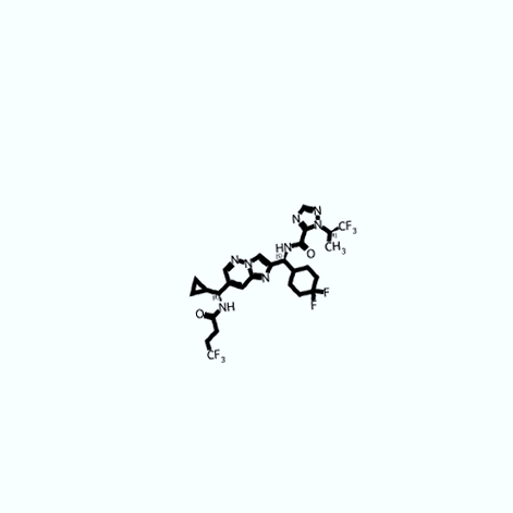 C[C@@H](n1ncnc1C(=O)N[C@H](c1cn2ncc([C@H](NC(=O)CCC(F)(F)F)C3CC3)cc2n1)C1CCC(F)(F)CC1)C(F)(F)F